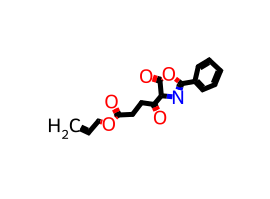 C=CCOC(=O)CCC(=O)C1N=C(c2ccccc2)OC1=O